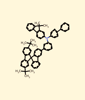 CC(C)(C)c1ccc2c(c1)C1(c3ccccc3-c3cc(-c4cccc(N(c5ccc(-c6ccccc6)cc5)c5ccc6c(c5)C(C)(C)c5ccccc5-6)c4)ccc31)c1cc(C(C)(C)C)ccc1-2